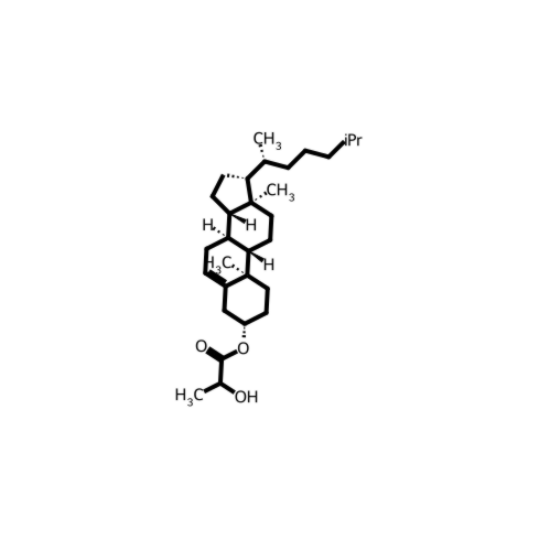 CC(C)CCC[C@@H](C)[C@H]1CC[C@H]2[C@@H]3CC=C4C[C@@H](OC(=O)C(C)O)CC[C@]4(C)[C@H]3CC[C@]12C